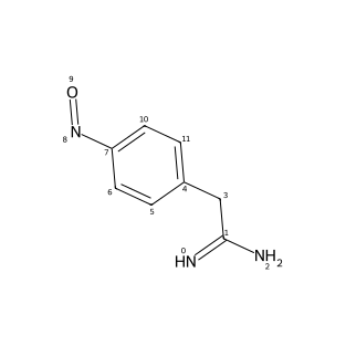 N=C(N)Cc1ccc(N=O)cc1